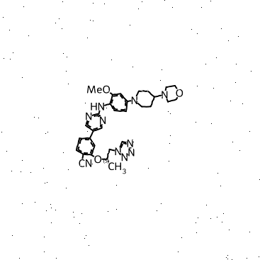 COc1cc(N2CCC(N3CCOCC3)CC2)ccc1Nc1ncc(-c2ccc(C#N)c(O[C@@H](C)Cn3cnnn3)c2)cn1